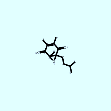 CC1=C(C)C(=O)C2(CCC(C)C)OC2(C)C1=O